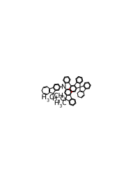 CC1(C)C2=C(C=CCC=C2)c2ccc(N(c3ccc4c(c3)C(C)(C)c3ccccc3-4)c3ccccc3-c3cccc4c3-c3ccccc3C43C4=C(C=CCC4)c4ccccc43)cc21